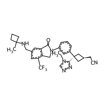 Cn1cnnc1[C@]1(c2cccc(N3Cc4c(cc(CNC5(C)CCC5)cc4C(F)(F)F)C3=O)c2)C[C@@H](CC#N)C1